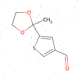 CC1(c2cc(C=O)cs2)OCCO1